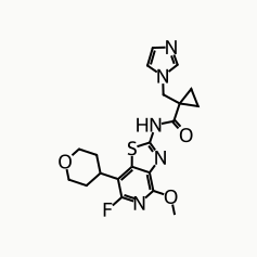 COc1nc(F)c(C2CCOCC2)c2sc(NC(=O)C3(Cn4ccnc4)CC3)nc12